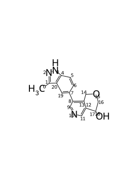 Cc1n[nH]c2ccc(-c3cncc4c3COCC4O)cc12